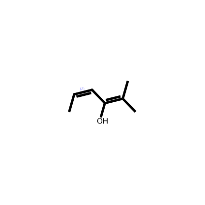 C/C=C\C(O)=C(C)C